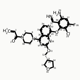 C=CC(=O)N1CCN(c2nc(OC[C@@H]3CCOC3)nc3c(Oc4c(Cl)c(F)cc(N)c4C=N)nccc23)CC1